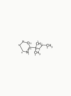 CCCC(C)(C)C1=NCCCO1